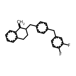 C=C1c2ccccc2CCC1Cc1ccc(Cc2ccc(F)c(F)c2)cc1